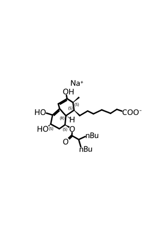 CCCCC(CCCC)C(=O)O[C@H]1C[C@H](O)C(O)=C2C=C(O)[C@@H](C)[C@@H](CCCCCCC(=O)[O-])[C@H]21.[Na+]